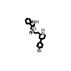 O=S(=O)(CCC1CC(c2ccc(Br)cc2)=CCN1)Cc1c[nH]c2ccccc12